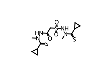 CN(NC(=O)CS(=O)(=O)NN(C)C(=S)C1CC1)C(=S)C1CC1